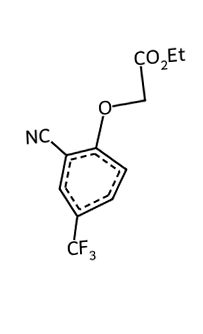 CCOC(=O)COc1ccc(C(F)(F)F)cc1C#N